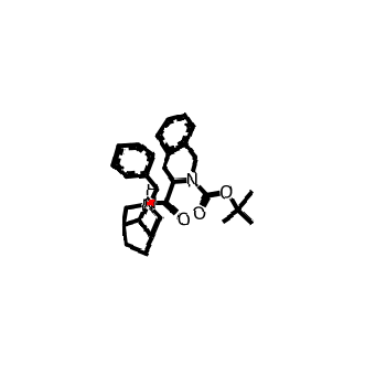 CC(C)(C)OC(=O)N1Cc2ccccc2CC1C(=O)NC1C2CCC1CN(Cc1ccccc1)C2